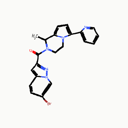 CC1c2ccc(-c3ccccn3)n2CCN1C(=O)c1cc2ccc(Br)cn2n1